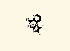 CCc1nc(F)c(F)n1-c1cccnc1C(N)=O